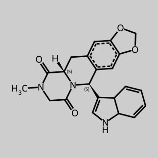 CN1CC(=O)N2[C@H](C3=CNC4C=CC=CC34)c3cc4c(cc3C[C@H]2C1=O)OCO4